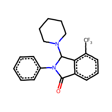 O=C1c2cccc(C(F)(F)F)c2C(N2CCCCC2)N1c1ccccc1